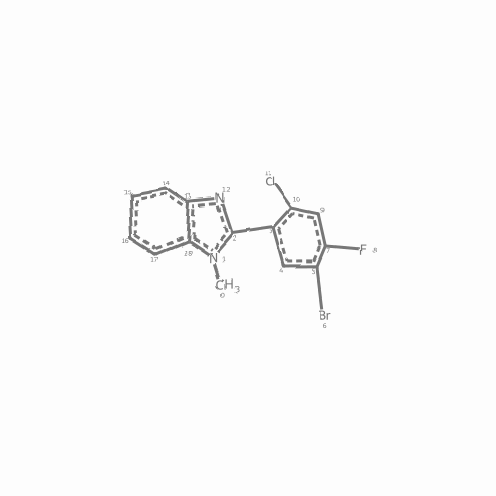 Cn1c(-c2cc(Br)c(F)cc2Cl)nc2ccccc21